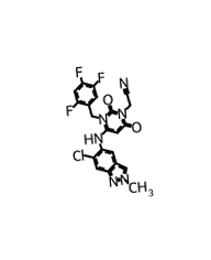 Cn1cc2cc(Nc3cc(=O)n(CC#N)c(=O)n3Cc3cc(F)c(F)cc3F)c(Cl)cc2n1